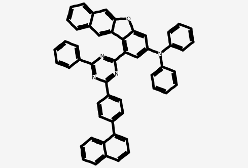 c1ccc(-c2nc(-c3ccc(-c4cccc5ccccc45)cc3)nc(-c3cc(N(c4ccccc4)c4ccccc4)cc4oc5cc6ccccc6cc5c34)n2)cc1